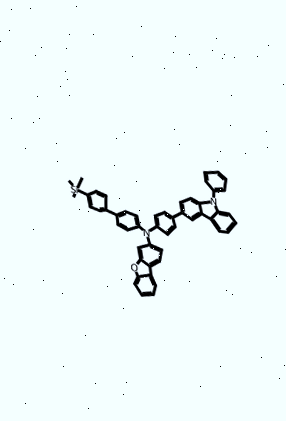 C[Si](C)(C)c1ccc(-c2ccc(N(c3ccc(-c4ccc5c(c4)c4ccccc4n5-c4ccccc4)cc3)c3ccc4c(c3)oc3ccccc34)cc2)cc1